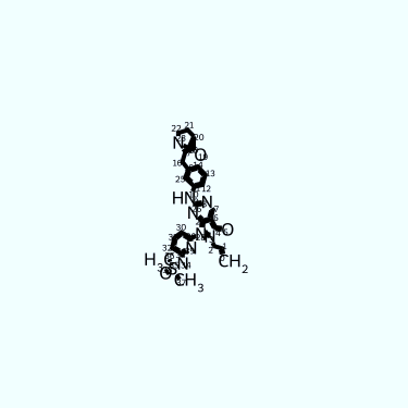 C=CCn1c(=O)c2cnc(Nc3cccc(CC4C(=O)C5CCN4C5)c3)nc2n1-c1cccc(N=S(C)(C)=O)n1